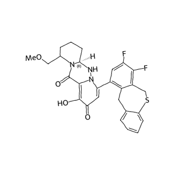 COCC1CCC[C@H]2Nn3c(-c4cc(F)c(F)c5c4Cc4ccccc4SC5)cc(=O)c(O)c3C(=O)N12